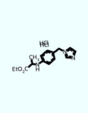 CCOC(=O)C(C)Nc1ccc(Cn2ccnc2)cc1.Cl.Cl